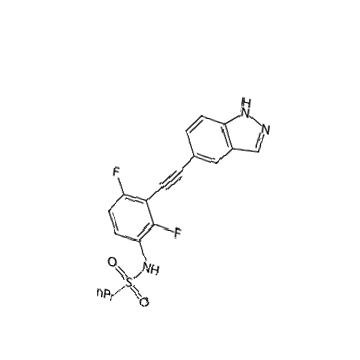 CCCS(=O)(=O)Nc1ccc(F)c(C#Cc2ccc3[nH]ncc3c2)c1F